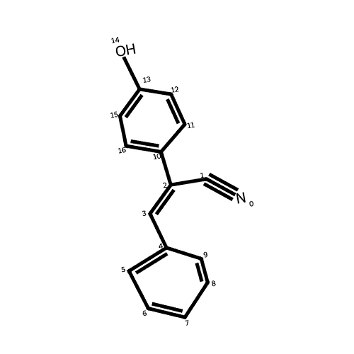 N#CC(=Cc1ccccc1)c1ccc(O)cc1